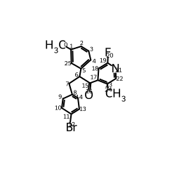 Cc1cccc(C(Cc2ccc(Br)cc2)C(=O)c2cc(F)ncc2C)c1